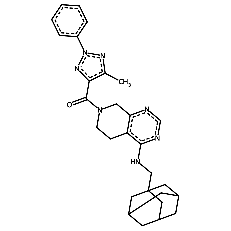 Cc1nn(-c2ccccc2)nc1C(=O)N1CCc2c(ncnc2NCC23CC4CC(CC(C4)C2)C3)C1